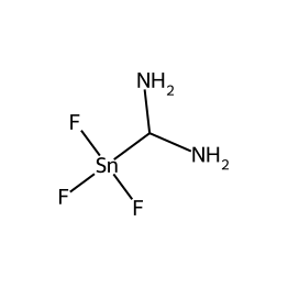 N[CH](N)[Sn]([F])([F])[F]